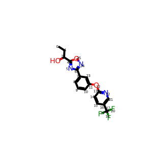 CCC(O)c1nc(-c2cccc(Oc3ccc(C(F)(F)F)cn3)c2)no1